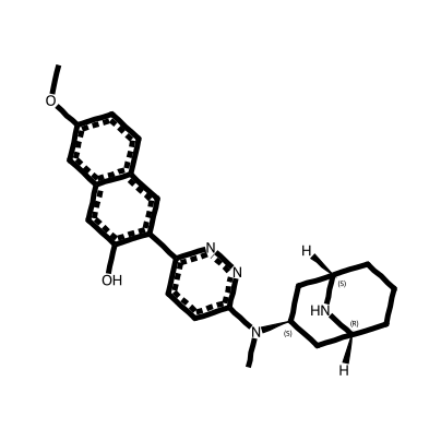 COc1ccc2cc(-c3ccc(N(C)[C@@H]4C[C@H]5CCC[C@@H](C4)N5)nn3)c(O)cc2c1